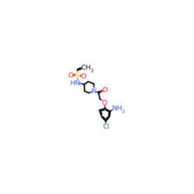 C=CS(=O)(=O)NC1CCN(C(=O)COc2ccc(Cl)cc2N)CC1